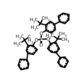 CC(C)(C)c1cc(-c2ccccc2)ccc1OP(=O)(Oc1ccc(-c2ccccc2)cc1C(C)(C)C)Oc1ccc(-c2ccccc2)cc1C(C)(C)C